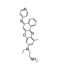 CCN(CCN)c1cc(C)c2nc3c4ccccc4/c(=N\c4ccncc4)cc-3oc2c1